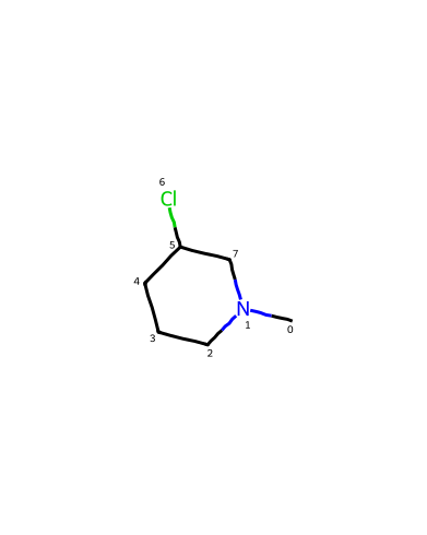 CN1CCCC(Cl)C1